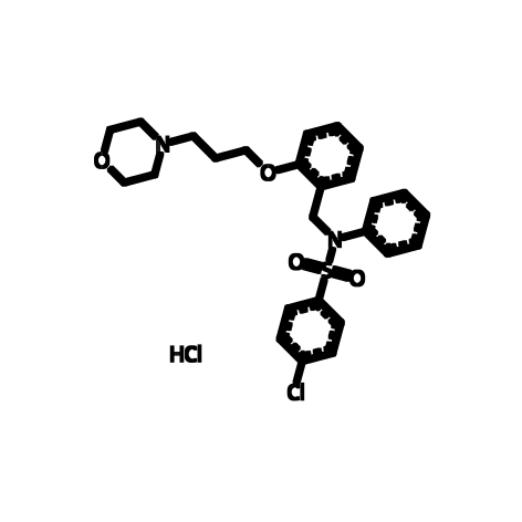 Cl.O=S(=O)(c1ccc(Cl)cc1)N(Cc1ccccc1OCCCN1CCOCC1)c1ccccc1